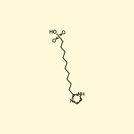 O=S(=O)(O)CCCCCCCCCCc1ncc[nH]1